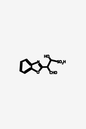 O=CC(c1nc2ccccc2o1)C(O)S(=O)(=O)O